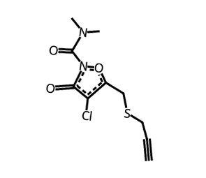 C#CCSCc1on(C(=O)N(C)C)c(=O)c1Cl